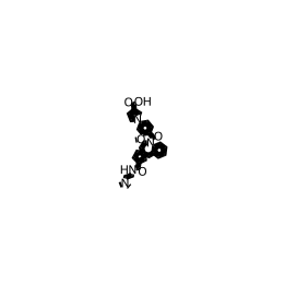 COc1cc(-n2ccc(C(=O)O)c2)ccc1C(=O)N1CCC2(C=C(C(=O)NCCN(C)C)CC2)Cc2ccccc21